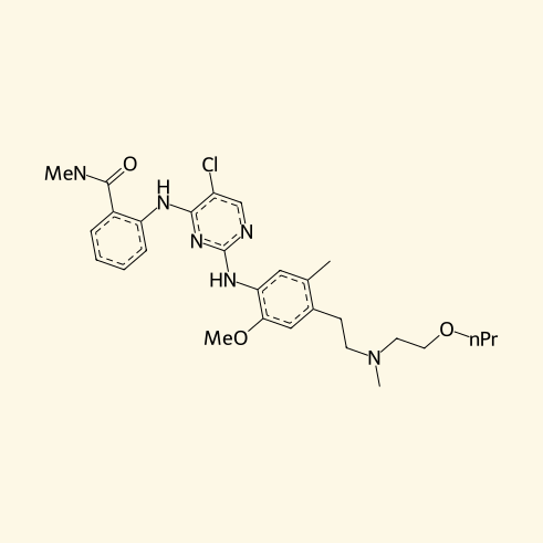 CCCOCCN(C)CCc1cc(OC)c(Nc2ncc(Cl)c(Nc3ccccc3C(=O)NC)n2)cc1C